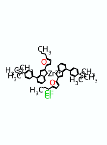 CCCc1ccc(C2=Cc3c(-c4ccc([Si](C)(C)C)cc4)cccc3[CH]2[Zr+2][CH]2C(c3ccc(CCC)o3)=Cc3c(-c4ccc([Si](C)(C)C)cc4)cccc32)o1.[Cl-].[Cl-]